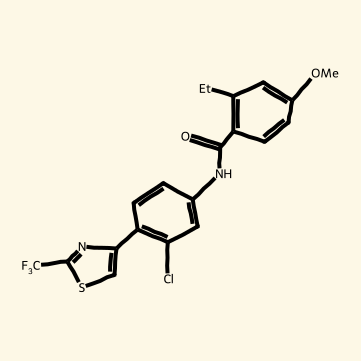 CCc1cc(OC)ccc1C(=O)Nc1ccc(-c2csc(C(F)(F)F)n2)c(Cl)c1